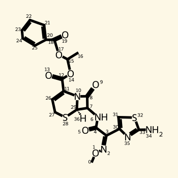 CO/N=C(\C(=O)NC1C(=O)N2C(C(=O)OC(C)OC(=O)c3ccccc3)=CCS[C@H]12)c1csc(N)n1